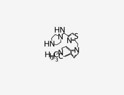 C/C=c1/ccn(Cc2nc(C(=N)N3CCNCC3)cs2)/c1=C/C=N/C